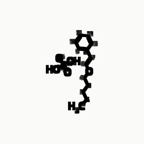 CCCCCOC=Cc1ccccc1.O=S(=O)(O)O